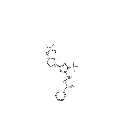 CC(C)(C)n1nc([C@H]2CC[C@H](OS(C)(=O)=O)C2)cc1NOC(=O)c1ccccc1